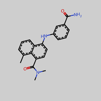 Cc1cccc2c(Nc3cccc(C(N)=O)c3)ccc(C(=O)N(C)C)c12